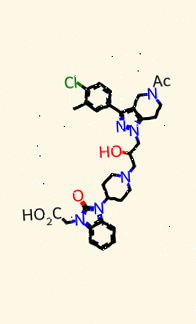 CC(=O)N1CCc2c(c(-c3ccc(Cl)c(C)c3)nn2CC(O)CN2CCC(n3c(=O)n(CC(=O)O)c4ccccc43)CC2)C1